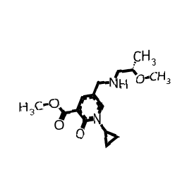 COC(=O)c1cc(CNC[C@H](C)OC)cn(C2CC2)c1=O